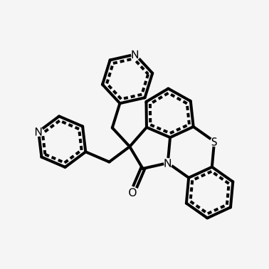 O=C1N2c3ccccc3Sc3cccc(c32)C1(Cc1ccncc1)Cc1ccncc1